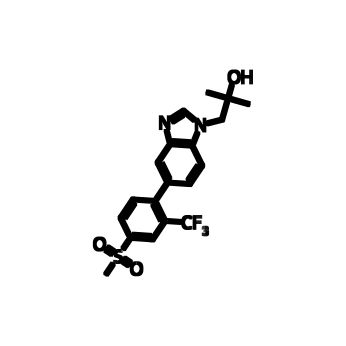 CC(C)(O)Cn1cnc2cc(-c3ccc(S(C)(=O)=O)cc3C(F)(F)F)ccc21